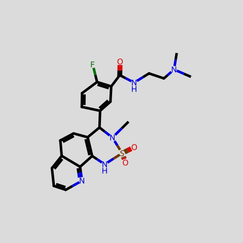 CN(C)CCNC(=O)c1cc(C2c3ccc4cccnc4c3NS(=O)(=O)N2C)ccc1F